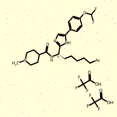 CC(=O)CCCCC[C@H](NC(=O)C1CCN(C)CC1)c1ncc(-c2ccc(OC(F)F)cc2)[nH]1.O=C(O)C(F)(F)F.O=C(O)C(F)(F)F